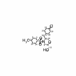 Cc1ccc(S(=O)(=O)N2C[C@@H](CO)OC[C@@H]2Cc2ccc(Cl)cc2)cc1